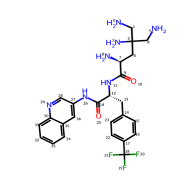 NCC(N)(CN)C[C@H](N)C(=O)N[C@H](Cc1ccc(C(F)(F)F)cc1)C(=O)Nc1cnc2ccccc2c1